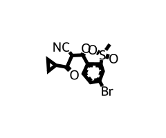 CS(=O)(=O)c1cc(Br)ccc1C(=O)C(C#N)C(=O)C1CC1